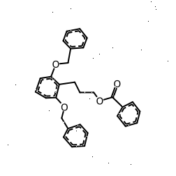 O=C(OCCCc1c(OCc2ccccc2)cccc1OCc1ccccc1)c1ccccc1